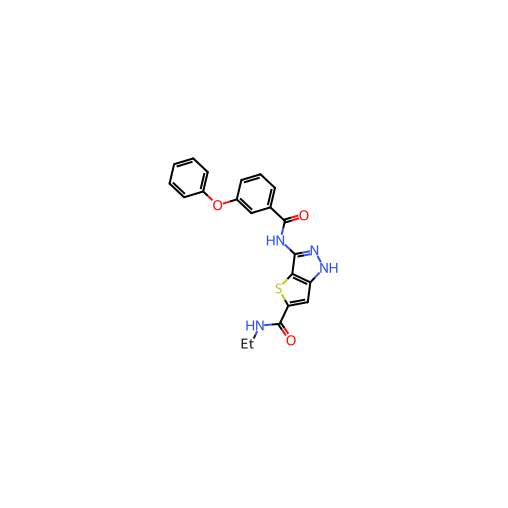 CCNC(=O)c1cc2[nH]nc(NC(=O)c3cccc(Oc4ccccc4)c3)c2s1